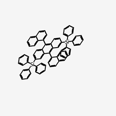 c1ccc([Si](c2ccccc2)(c2ccccc2)c2ccc3c(-c4cccc5ccccc45)c4ccc([Si](c5ccccc5)(c5ccccc5)c5ccccc5)cc4c(-c4cccc5ccccc45)c3c2)cc1